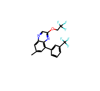 Cc1cc(-c2cccc(C(F)(F)F)c2)c2nc(OCC(F)(F)F)cnc2c1